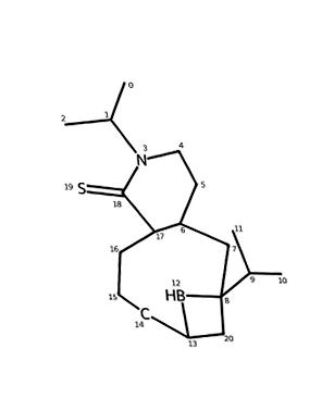 CC(C)N1CCC2CC3(C(C)C)BC(CCCC2C1=S)C3